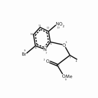 COC(=O)C(C)Oc1nc(Br)ccc1[N+](=O)[O-]